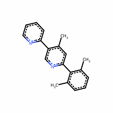 Cc1cc(-c2c(C)cccc2C)ncc1-c1ccccn1